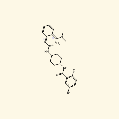 C=C(/N=C1/C=CC=C/C1=C(/N)N(C)C)N[C@H]1CC[C@@H](NC(=O)c2cc(Br)ccc2Cl)CC1